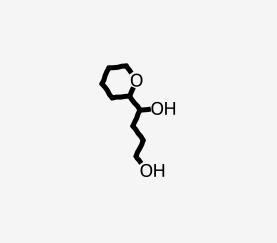 OCCCC(O)C1CCCCO1